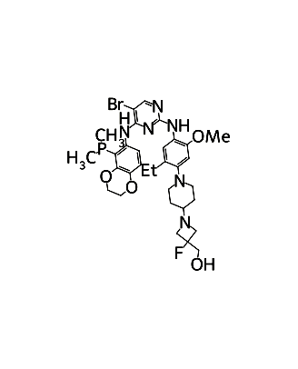 CCc1cc(Nc2ncc(Br)c(Nc3ccc4c(c3P(C)C)OCCO4)n2)c(OC)cc1N1CCC(N2CC(F)(CO)C2)CC1